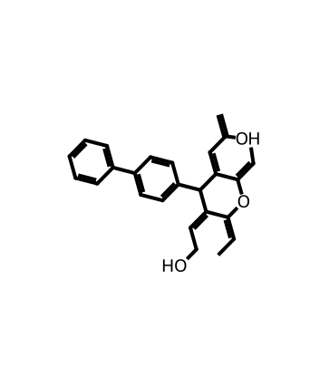 C=C(O)/C=C1\C(=C/C)OC(=C/C)/C(=C\CO)C1c1ccc(-c2ccccc2)cc1